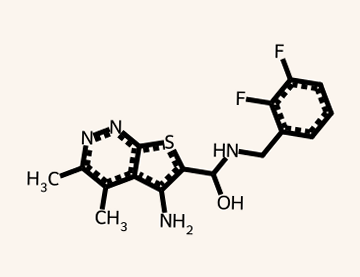 Cc1nnc2sc(C(O)NCc3cccc(F)c3F)c(N)c2c1C